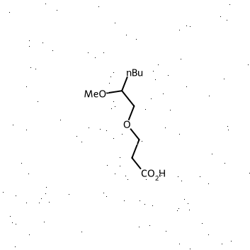 CCCCC(COCCC(=O)O)OC